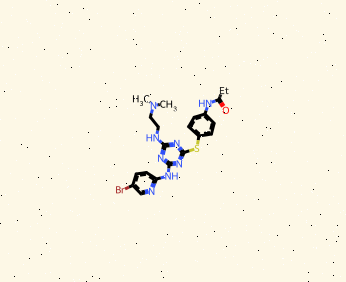 CCC(=O)Nc1ccc(Sc2nc(NCCN(C)C)nc(Nc3ccc(Br)cn3)n2)cc1